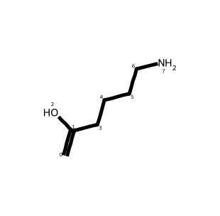 C=C(O)CCCCN